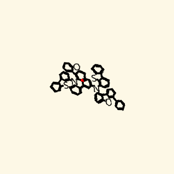 c1ccc(-c2cccc3c2oc2cccc(N(c4cccc(-c5ccccc5N(c5cccc6c5sc5ccccc56)c5cccc6oc7ccccc7c56)c4)c4cccc5c4sc4ccccc45)c23)cc1